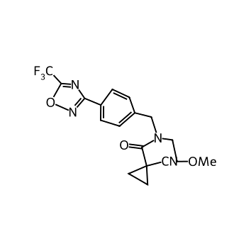 COCCN(Cc1ccc(-c2noc(C(F)(F)F)n2)cc1)C(=O)C1(C#N)CC1